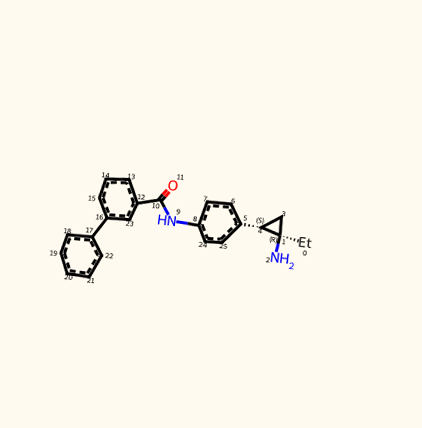 CC[C@@]1(N)C[C@H]1c1ccc(NC(=O)c2cccc(-c3ccccc3)c2)cc1